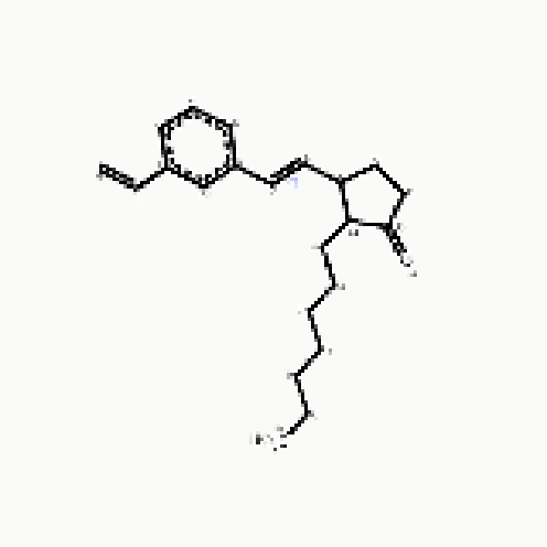 C=Cc1cccc(/C=C/C2CCC(=O)C2CCCCCCC(=O)O)c1